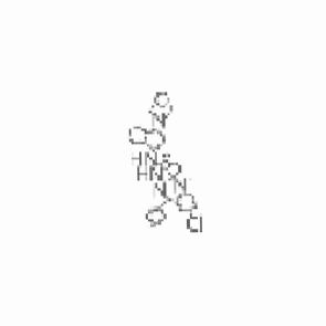 CN1C(=O)C(NC(=S)Nc2ccc(N3CCOCC3)c3ccccc23)N=C(c2ccsc2)c2cc(Cl)ccc21